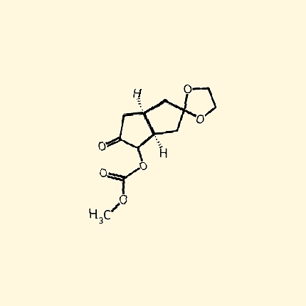 COC(=O)OC1C(=O)C[C@H]2CC3(C[C@@H]12)OCCO3